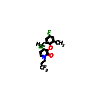 Cc1cc(F)cc(C)c1Oc1c(Br)ccn(CCC(F)(F)F)c1=O